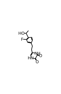 CC(O)c1ccc(CCc2c[nH]c(=O)c(=O)[nH]2)cc1F